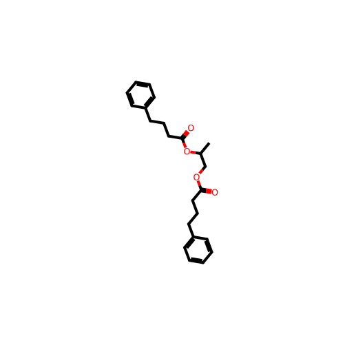 CC(COC(=O)CCCc1ccccc1)OC(=O)CCCc1ccccc1